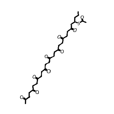 CCCC(CC(=O)CCC(=O)CCC(=O)CCC(=O)CCC(=O)CCC(=O)CCC(=O)CCC(C)=O)SC(C)=O